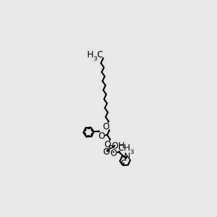 CCCCCCCCCCCCCCCCOCC(COP(=O)(O)OC(C)C1CC2CCN1CC2)OCc1ccccc1